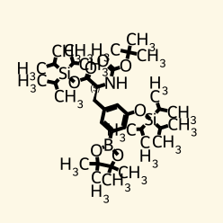 CC(C)[Si](OC(=O)[C@H](Cc1cc(O[Si](C(C)C)(C(C)C)C(C)C)cc(B2OC(C)(C)C(C)(C)O2)c1)NC(=O)OC(C)(C)C)(C(C)C)C(C)C